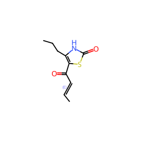 C/C=C/C(=O)c1sc(=O)[nH]c1CCC